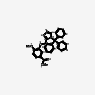 COC(=O)c1ccc(OC)c(OCc2nncn2C(c2ccccc2)(c2ccccc2)c2ccccc2)c1